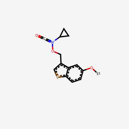 CCOc1ccc2scc(CO[N+](=C=O)C3CC3)c2c1